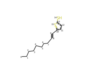 CCCCCCCCC#Cc1ccc(S)s1